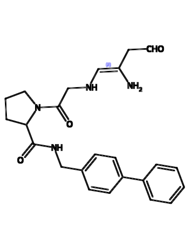 N/C(=C\NCC(=O)N1CCCC1C(=O)NCc1ccc(-c2ccccc2)cc1)CC=O